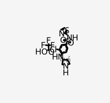 C[C@@H]1CNC[C@H]1Nc1ccc(S(=O)(=O)Nc2nccs2)cc1Cl.O=C(O)C(F)(F)F